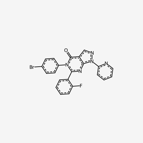 O=c1c2cnn(-c3ccccn3)c2nc(-c2ccccc2F)n1-c1ccc(Br)cc1